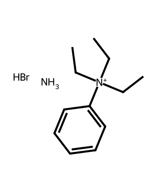 Br.CC[N+](CC)(CC)c1ccccc1.N